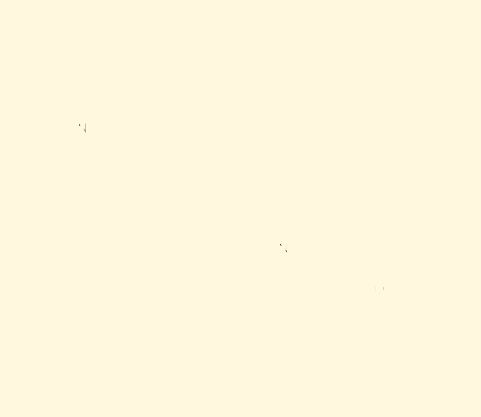 C1CNCC(CCOCN2CCC3(CCCO3)CC2)C1